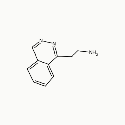 NCCc1nncc2ccccc12